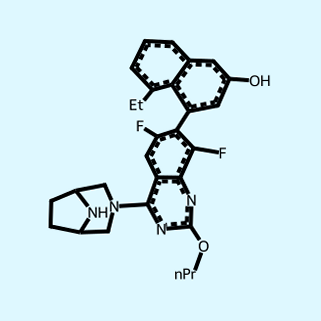 CCCOc1nc(N2CC3CCC(C2)N3)c2cc(F)c(-c3cc(O)cc4cccc(CC)c34)c(F)c2n1